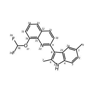 Cc1ccc2[nH]c(C)c(-c3ccc4cccc(OC(F)F)c4n3)c2c1